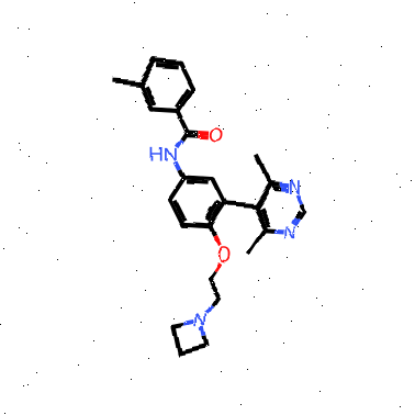 Cc1cccc(C(=O)Nc2ccc(OCCN3CCC3)c(-c3c(C)ncnc3C)c2)c1